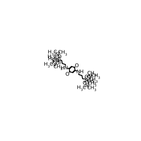 C[Si](C)(C)O[Si](C)(CCCNC1=CC(=O)C(NCCC[Si](C)(O[Si](C)(C)C)O[Si](C)(C)C)=CC1=O)O[Si](C)(C)C